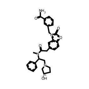 CN(C(=O)Cc1ccc2oc(=O)n(Cc3cccc(C(N)=O)c3)c2c1)C(CN1CC[C@H](O)C1)c1ccccc1